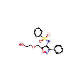 O=S(=O)(Nc1c(-c2ccccc2)noc1COCCO)c1ccccc1